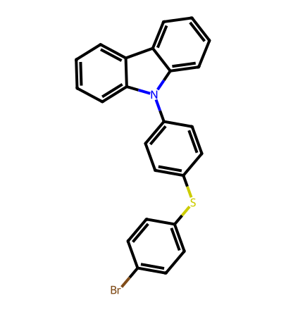 Brc1ccc(Sc2ccc(-n3c4ccccc4c4ccccc43)cc2)cc1